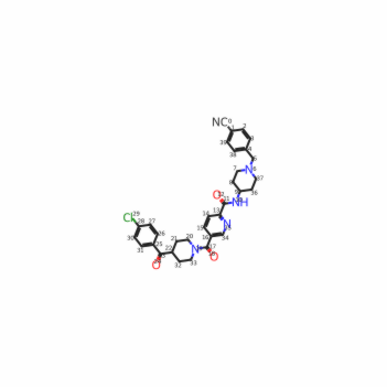 N#Cc1ccc(CN2CCC(NC(=O)c3ccc(C(=O)N4CCC(C(=O)c5ccc(Cl)cc5)CC4)cn3)CC2)cc1